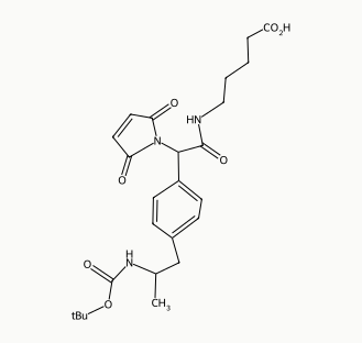 CC(Cc1ccc(C(C(=O)NCCCCC(=O)O)N2C(=O)C=CC2=O)cc1)NC(=O)OC(C)(C)C